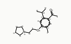 CC(=O)c1cc(C)c(OCCN2CCCC2)cc1C(C)C